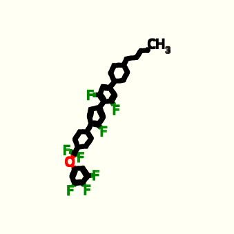 CCCCCC1CCC(c2cc(F)c(-c3ccc(C4CCC(C(F)(F)Oc5cc(F)c(F)c(F)c5)CC4)c(F)c3)c(F)c2)CC1